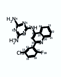 Nc1nc(N)nc(Nc2cc(-c3cc(Cl)ccc3F)nc3ccccc23)n1